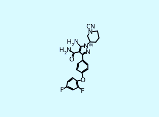 N#CN1CCC[C@@H](n2nc(-c3ccc(Oc4ccc(F)cc4F)cc3)c(C(N)=O)c2N)C1